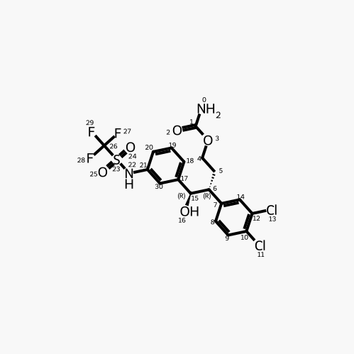 NC(=O)OCC[C@H](c1ccc(Cl)c(Cl)c1)[C@@H](O)c1cccc(NS(=O)(=O)C(F)(F)F)c1